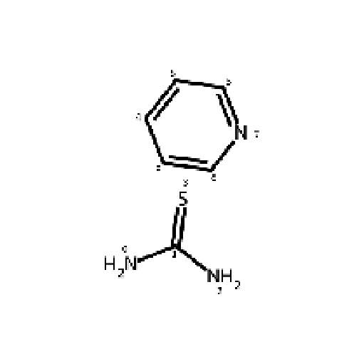 NC(N)=S.c1ccncc1